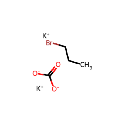 CCCBr.O=C([O-])[O-].[K+].[K+]